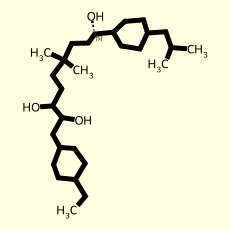 CCC1CCC(CC(O)C(O)CCC(C)(C)CC[C@H](O)C2CCC(CC(C)C)CC2)CC1